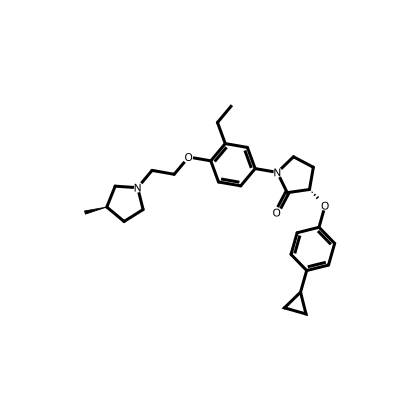 CCc1cc(N2CC[C@H](Oc3ccc(C4CC4)cc3)C2=O)ccc1OCCN1CC[C@@H](C)C1